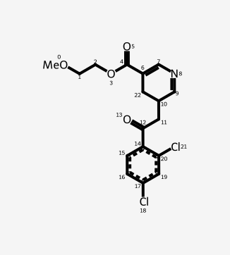 COCCOC(=O)C1=CN=CC(CC(=O)c2ccc(Cl)cc2Cl)C1